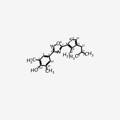 Cc1cc(-c2noc(-c3scc(CC(C)C)c3C)n2)cc(C)c1O